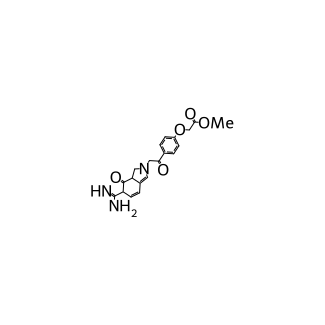 COC(=O)COc1ccc(C(=O)CN2C=C3C=CC(C(=N)N)C(=O)C3C2)cc1